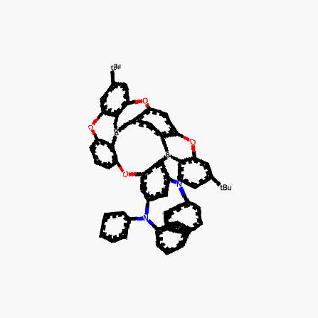 CC(C)(C)c1cc2c3c(c1)Oc1cccc4c1B3c1cc3c(cc1O2)Oc1cc(C(C)(C)C)cc2c1B3c1c(cc(N(c3ccccc3)c3ccccc3)cc1N2c1ccccc1)O4